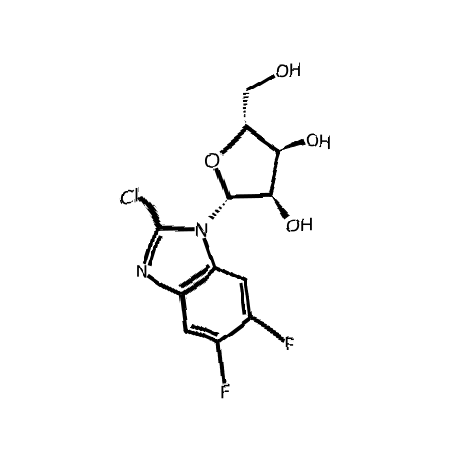 OC[C@H]1O[C@@H](n2c(Cl)nc3cc(F)c(F)cc32)[C@H](O)[C@@H]1O